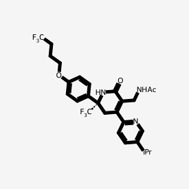 CC(=O)NCC1=C(c2ccc(C(C)C)cn2)C[C@](c2ccc(OCCCC(F)(F)F)cc2)(C(F)(F)F)NC1=O